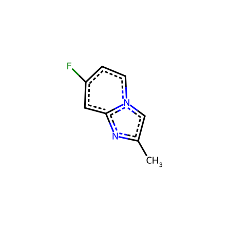 Cc1cn2ccc(F)cc2n1